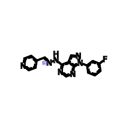 Fc1cccc(-n2ncc3c(N/N=C/c4ccncc4)ncnc32)c1